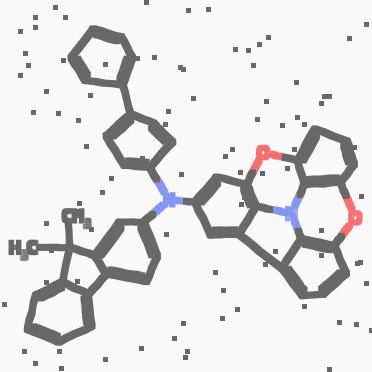 CC1(C)c2ccccc2-c2ccc(N(c3ccc(-c4ccccc4)cc3)c3cc4c5c(c3)c3cccc6c3n5-c3c(cccc3O4)O6)cc21